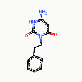 Nc1cc(=O)n(CCc2ccccc2)c(=O)[nH]1